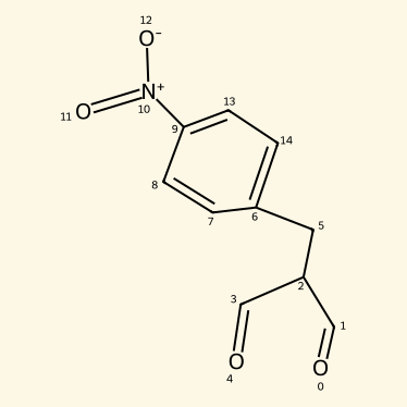 O=CC(C=O)Cc1ccc([N+](=O)[O-])cc1